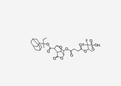 CCC(C)(OC(=O)C1C2OC3C(OC(=O)C31)C2OC(=O)CCC(=O)OC(C)C(F)(F)S(=O)(=O)O)C12CC3CC(CC(C3)C1)C2